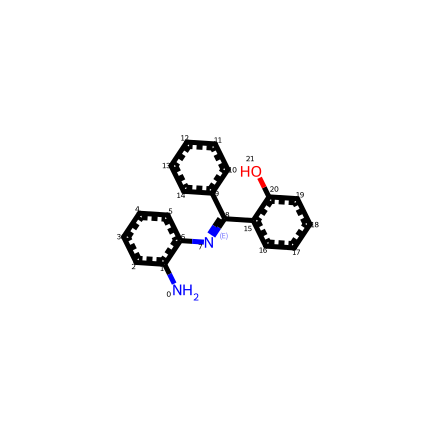 Nc1ccccc1/N=C(\c1ccccc1)c1ccccc1O